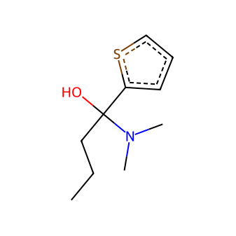 CCCC(O)(c1cccs1)N(C)C